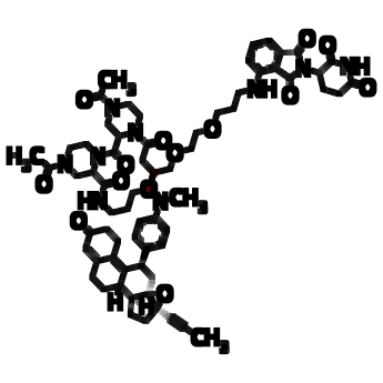 CC#C[C@]12CC[C@H]3[C@@H]4CCC5=CC(=O)CCC5=C4[C@@H](c4ccc(N(C)CCCC(=O)N5CCN(C(C)=O)CC5C(=O)N5CCN(C(C)=O)CC5C(=O)NCCCOCCOCCOCCCNc5cccc6c5C(=O)N(C5CCC(=O)NC5=O)C6=O)cc4)C[C@@]31O2